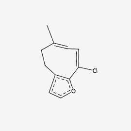 C/C1=C\C=C(\Cl)c2occc2CC1